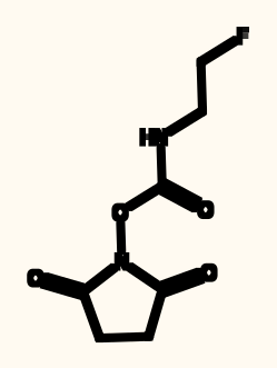 O=C(NCCF)ON1C(=O)CCC1=O